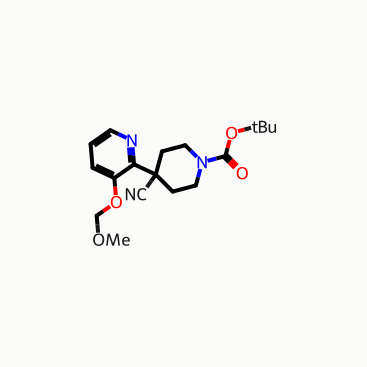 COCOc1cccnc1C1(C#N)CCN(C(=O)OC(C)(C)C)CC1